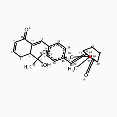 CC(C)(O)C1CC=CC(=O)/C1=C/c1ccc(/C=C2/C(=O)C3CCC2C(C)(C)O3)cc1